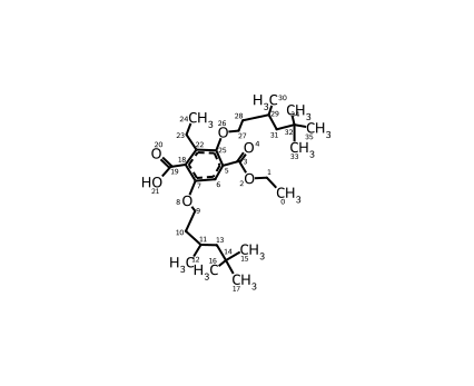 CCOC(=O)c1cc(OCCC(C)CC(C)(C)C)c(C(=O)O)c(CC)c1OCCC(C)CC(C)(C)C